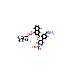 C[Si](C)(C)CCOCOc1cc(COC2CN(C(=O)O)CCC2c2ccc(CN)cc2)cc2ccccc12